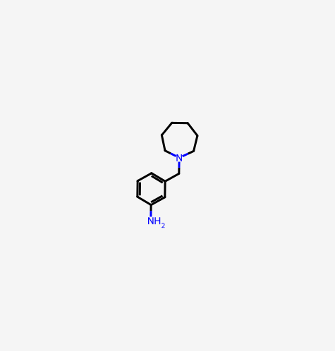 Nc1cccc(CN2CCCCCC2)c1